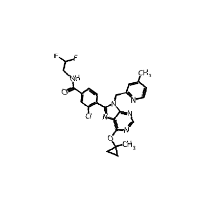 Cc1ccnc(Cn2c(-c3ccc(C(=O)NCC(F)F)cc3Cl)nc3c(OC4(C)CC4)ncnc32)c1